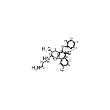 CC([CH]c1oc2cc(F)ccc2c(=O)c1Cc1ccccc1)C(=O)NCCCN